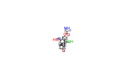 CC(CN)C(=O)O[C@H]1CC[C@@]2(C)C(C1)/C(=N/O)C[C@@H]1[C@@H]2CC[C@]2(C)C(=O)CC[C@@H]12.Cl